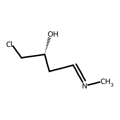 C/N=C/C[C@@H](O)CCl